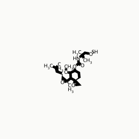 COC1C(OC(=O)NC(C)(C)COS)CC[C@]2(CO2)C1[C@@]1(C)O[C@@H]1CC=C(C)C